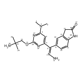 CN(C)c1cc(/C(=N/N)c2ccc3c(c2)CC(=O)N3)nc(OCC(C)(C)N)n1